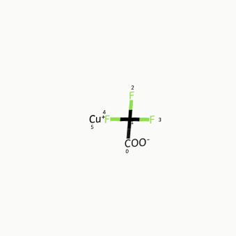 O=C([O-])C(F)(F)F.[Cu+]